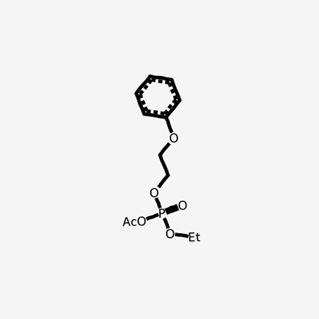 CCOP(=O)(OCCOc1ccccc1)OC(C)=O